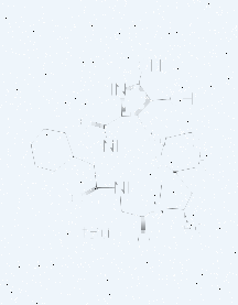 CC(=O)c1c(C(=O)N[C@H](C(=O)N[C@H](C(=O)N2CC3(C[C@H]2C(C)=O)SCCCS3)C(C)(C)C)C2CCCCC2)[nH]c(C)c1C